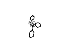 O=S(=O)(N=[PH](C1CCCCC1)C1CCCCC1)c1ccccc1